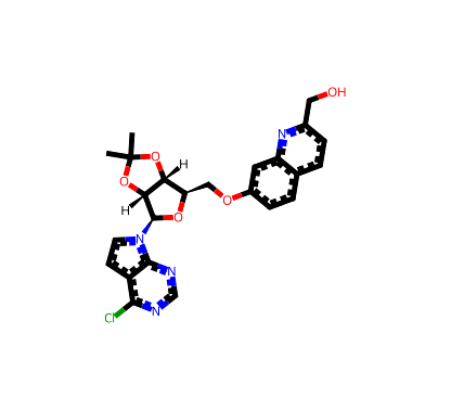 CC1(C)O[C@@H]2[C@H](O1)[C@@H](COc1ccc3ccc(CO)nc3c1)O[C@H]2n1ccc2c(Cl)ncnc21